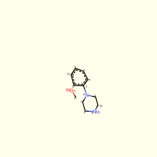 CO.c1ccc(N2CCNCC2)cc1